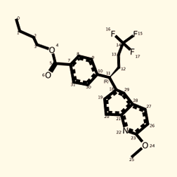 CCCCOC(=O)c1ccc([C@@H](CCC(F)(F)F)c2ccc3nc(OC)ccc3c2)cc1